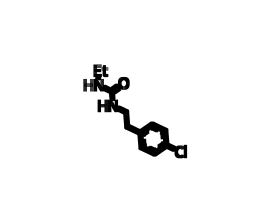 CCNC(=O)NCCc1ccc(Cl)cc1